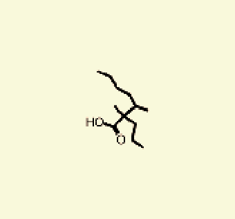 CCCCC(C)C(C)(CCC)C(=O)O